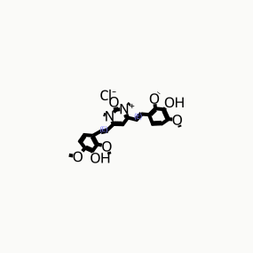 COc1ccc(/C=C/c2cc(/C=C/c3ccc(OC)c(O)c3OC)[n+](C)c(=O)n2C)c(OC)c1O.[Cl-]